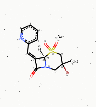 O=C1C(=Cc2ccccn2)[C@@H]2N1CC(Br)(C(=O)[O-])CS2(=O)=O.[Na+]